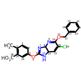 Cc1ccc(OC2=NC3N=C(OCc4ccccc4)C(Cl)=CC3N2)cc1C(=O)O